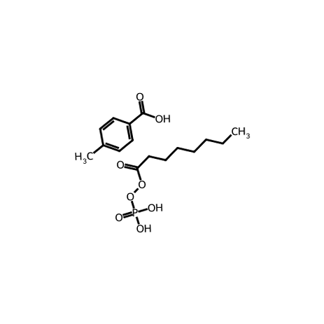 CCCCCCCC(=O)OOP(=O)(O)O.Cc1ccc(C(=O)O)cc1